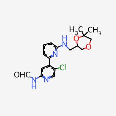 CC1(C)COCC(CNc2cccc(-c3cc(NC=O)ncc3Cl)n2)O1